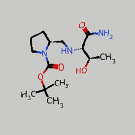 C[C@@H](O)[C@H](NC[C@@H]1CCCN1C(=O)OC(C)(C)C)C(N)=O